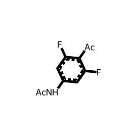 CC(=O)Nc1cc(F)c(C(C)=O)c(F)c1